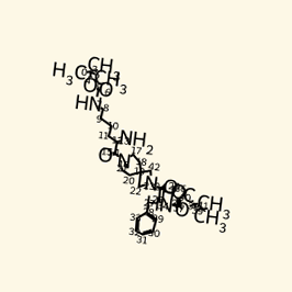 CC(C)(C)OC(=O)NCCCC[C@@H](N)C(=O)N1CCC2(CC1)CN(C(=O)[C@@H](Cc1ccccc1)NC(=O)OC(C)(C)C)C2